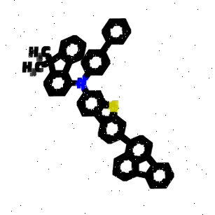 CC1(C)c2ccccc2-c2c(N(c3ccc(-c4ccccc4)cc3)c3ccc4c(c3)sc3cc(-c5ccc6c7c(cccc57)-c5ccccc5-6)ccc34)cccc21